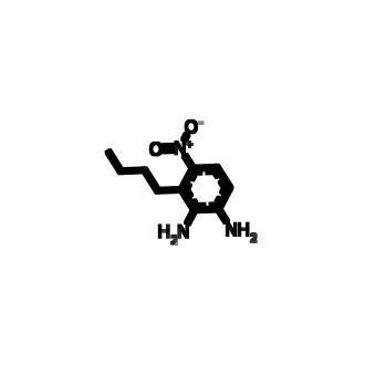 CCCCc1c([N+](=O)[O-])ccc(N)c1N